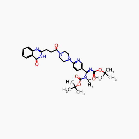 CN(C(=O)OC(C)(C)C)C(=NC(=O)OC(C)(C)C)c1ccc(N2CCN(C(=O)CCc3nc4ccccc4c(=O)[nH]3)CC2)nc1